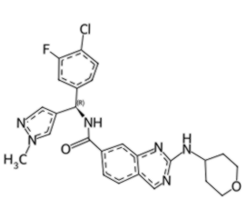 Cn1cc([C@H](NC(=O)c2ccc3cnc(NC4CCOCC4)nc3c2)c2ccc(Cl)c(F)c2)cn1